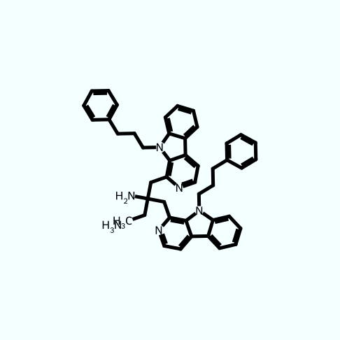 CCC(N)(Cc1nccc2c3ccccc3n(CCCc3ccccc3)c12)Cc1nccc2c3ccccc3n(CCCc3ccccc3)c12.N